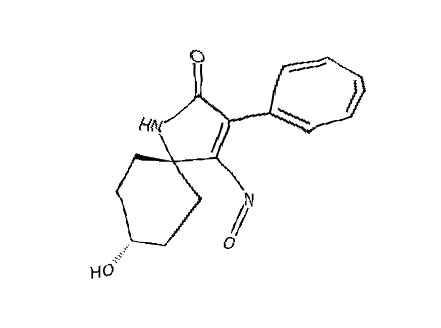 O=NC1=C(c2ccccc2)C(=O)N[C@]12CC[C@@H](O)CC2